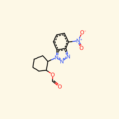 O=COC1CCCCC1n1nnc2c([N+](=O)[O-])cccc21